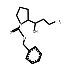 CCCC(O)C1CCCN1C(=O)OCc1ccccc1